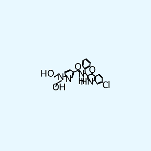 O=C(NC(c1ccccc1)c1c[nH]c2cc(Cl)ccc2c1=O)c1ccc(N(CCO)CCO)nc1